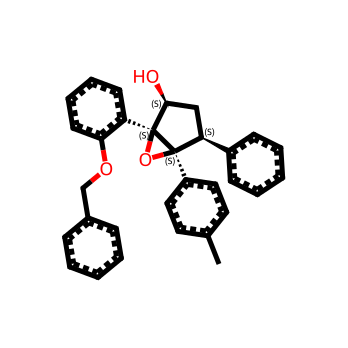 Cc1ccc([C@]23O[C@@]2(c2ccccc2OCc2ccccc2)[C@@H](O)C[C@H]3c2ccccc2)cc1